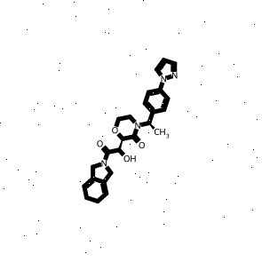 C[C@H](c1ccc(-n2cccn2)cc1)N1CCO[C@H](C(O)C(=O)N2CC3=CCCC=C3C2)C1=O